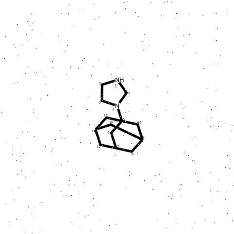 [C]1NCCN1C12CC3CC(CC(C3)C1)C2